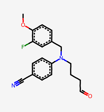 COc1ccc(CN(CCCC=O)c2ccc(C#N)cc2)cc1F